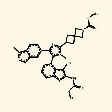 Cn1c(C2CC3(C2)CN(C(=O)OC(C)(C)C)C3)nc(-c2ccc3c(cnn3C)c2)c1-c1cccc2sc(NC(=O)OC(C)(C)C)c(C#N)c12